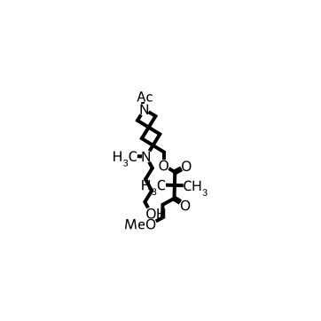 COCCC(=O)C(C)(C)C(=O)OCC1(N(C)CCCCO)CC2(CN(C(C)=O)C2)C1